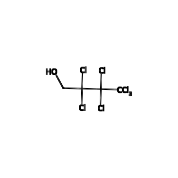 OCC(Cl)(Cl)C(Cl)(Cl)C(Cl)(Cl)Cl